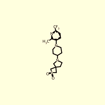 Cc1nc(C(F)(F)F)ccc1N1CCC(N2CCC3(C2)CS(=O)(=O)C3)CC1